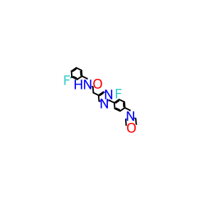 O=C(Cc1cnc(-c2ccc(CN3CCOCC3)cc2F)nc1)NCc1cccc(F)c1